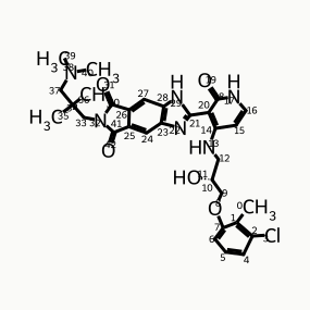 Cc1c(Cl)cccc1OC[C@H](O)CNc1cc[nH]c(=O)c1-c1nc2cc3c(cc2[nH]1)C(=O)N(CC(C)(C)CN(C)C)C3=O